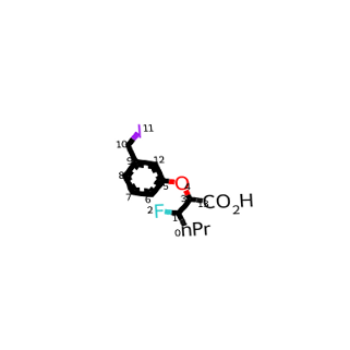 CCCC(F)C(Oc1cccc(CI)c1)C(=O)O